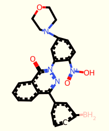 Bc1cccc(-c2nn(-c3cc(N4CCOCC4)ccc3[N+](=O)O)c(=O)c3ccccc23)c1